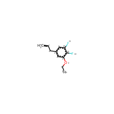 [2H]COc1cc(CC=C)cc(F)c1F